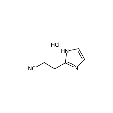 Cl.N#CCCc1ncc[nH]1